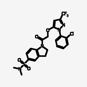 CN(C)S(=O)(=O)c1ccc2c(c1)CCN2C(=O)COc1cc(C(F)(F)F)nn1-c1ccccc1Cl